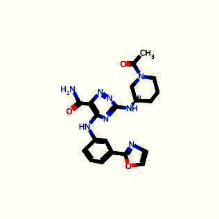 CC(=O)N1CCC[C@@H](Nc2nnc(C(N)=O)c(Nc3cccc(-c4ncco4)c3)n2)C1